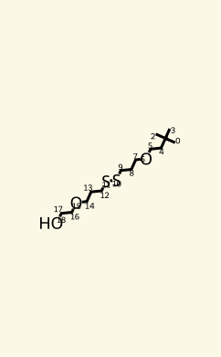 CC(C)(C)CCOCCCSSCCCOCCO